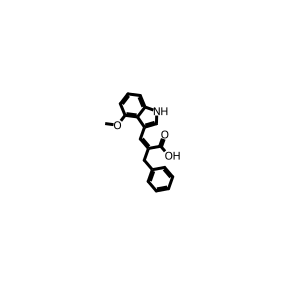 COc1cccc2[nH]cc(C=C(Cc3ccccc3)C(=O)O)c12